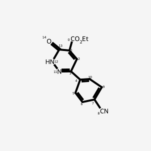 CCOC(=O)c1cc(-c2ccc(C#N)cc2)n[nH]c1=O